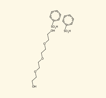 O=S(=O)(O)c1ccccc1.O=S(=O)(O)c1ccccc1.OCCOCCOCCOCCO